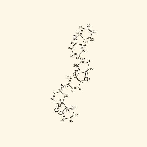 C1=CC(Sc2ccc3oc4ccc(-c5ccc6oc7ccccc7c6c5)cc4c3c2)Cc2c1oc1ccccc21